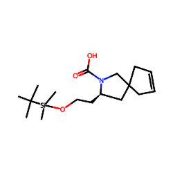 CC(C)(C)[Si](C)(C)OCC[C@@H]1CC2(CC=CC2)CN1C(=O)O